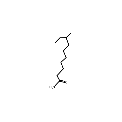 [CH2]C(CC)CCCCCCC(N)=O